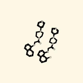 O=C(COc1cccc2ccccc12)N1CCN(c2ccncc2)CC1.O=C(CSc1cccc2cccc(Cl)c12)N1CCN(c2ccncc2)CC1